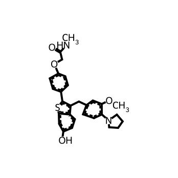 CNC(=O)COc1ccc(-c2sc3cc(O)ccc3c2Cc2ccc(N3CCCC3)c(OC)c2)cc1